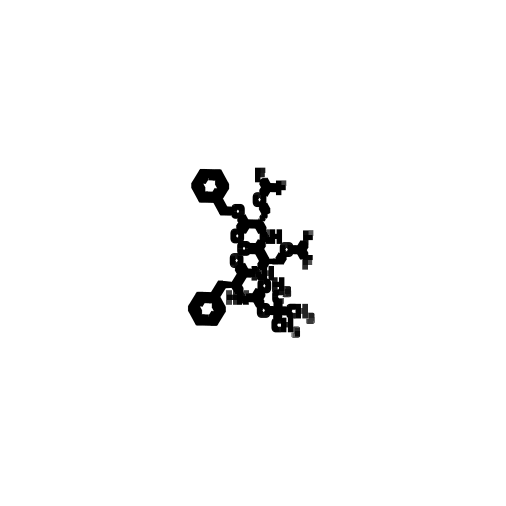 CC(C)(C)OC(=O)N[C@@H](Cc1ccccc1)C(=O)N[C@@H](COC(F)F)C(=O)N[C@@H](COC(F)F)C(=O)OCc1ccccc1